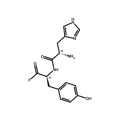 N[C@@H](Cc1c[nH]cn1)C(=O)N[C@@H](Cc1ccc(O)cc1)C(=O)F